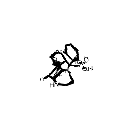 CC(=O)c1ccccc1C(CP(=O)(O)O)(c1ccccc1C(C)=O)N1CCCNc2c1c(=O)c2=O